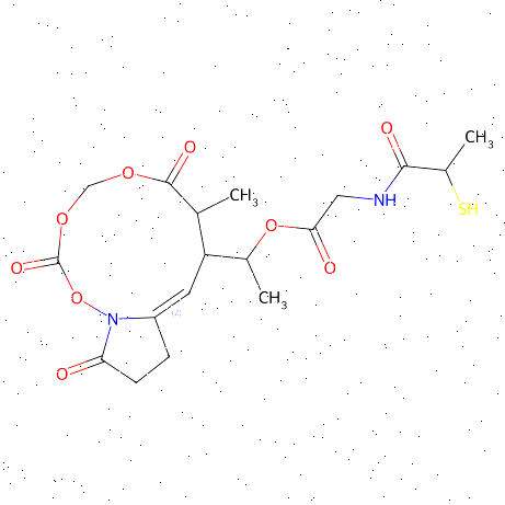 CC(S)C(=O)NCC(=O)OC(C)C1/C=C2/CCC(=O)N2OC(=O)OCOC(=O)C1C